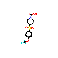 O=C(O)N1CCC(S(=O)(=O)c2ccc(OC(F)(F)F)cc2)CC1